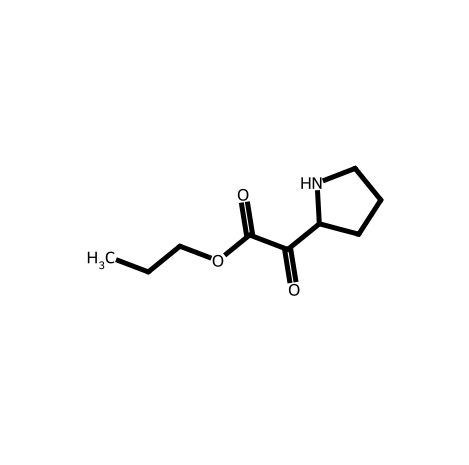 CCCOC(=O)C(=O)C1CCCN1